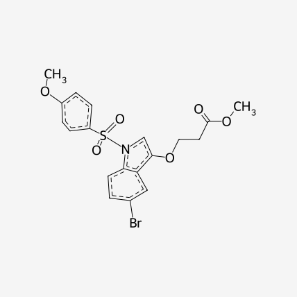 COC(=O)CCOc1cn(S(=O)(=O)c2ccc(OC)cc2)c2ccc(Br)cc12